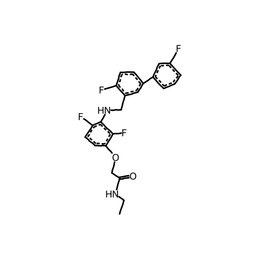 CCNC(=O)COc1ccc(F)c(NCc2cc(-c3cccc(F)c3)ccc2F)c1F